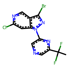 CC(F)(F)c1cncc(-n2nc(Br)c3cnc(Cl)cc32)n1